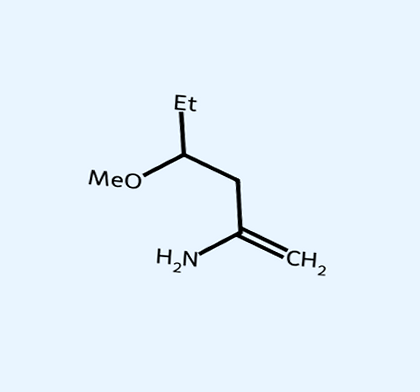 C=C(N)CC(CC)OC